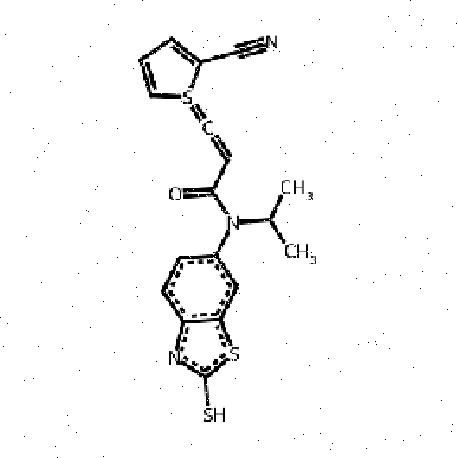 CC(C)N(C(=O)C=C=S1C=CC=C1C#N)c1ccc2nc(S)sc2c1